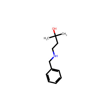 CC(C)(O)CCNCc1ccccc1